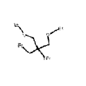 CCCC(COCC)(COCC)CC(C)C